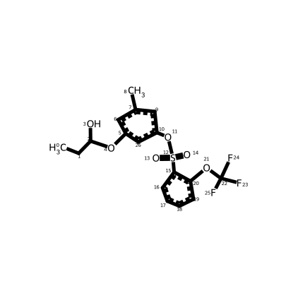 CCC(O)Oc1cc(C)cc(OS(=O)(=O)c2ccccc2OC(F)(F)F)c1